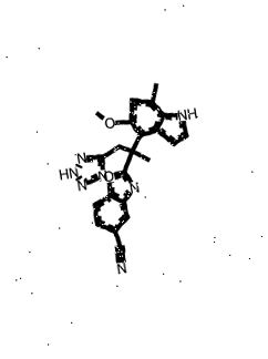 COc1cc(C)c2[nH]ccc2c1C(C)(Cc1nn[nH]n1)c1nc2cc(C#N)ccc2o1